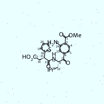 COC(=O)c1ccc(C(=O)[C@H](CC(C)C)NC(=O)[C@@H](CC(=O)O)c2cccs2)cc1N